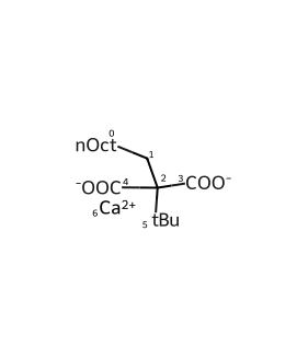 CCCCCCCCCC(C(=O)[O-])(C(=O)[O-])C(C)(C)C.[Ca+2]